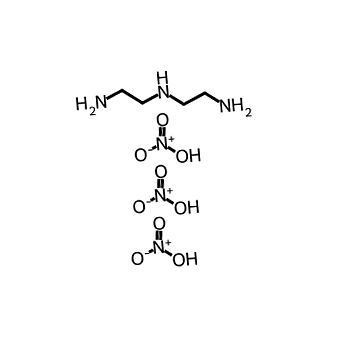 NCCNCCN.O=[N+]([O-])O.O=[N+]([O-])O.O=[N+]([O-])O